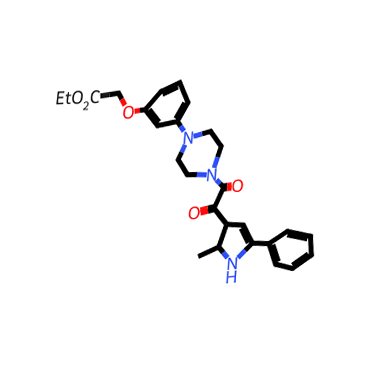 CCOC(=O)COc1cccc(N2CCN(C(=O)C(=O)C3C=C(c4ccccc4)NC3C)CC2)c1